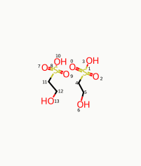 O=S(=O)(O)CCO.O=S(=O)(O)CCO